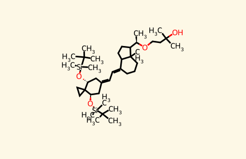 C[C@@H](OCCC(C)(C)O)C1CCC2/C(=C/C=C3C[C@@H](O[Si](C)(C)C(C)(C)C)C4(CC4)[C@H](O[Si](C)(C)C(C)(C)C)C3)CCCC21C